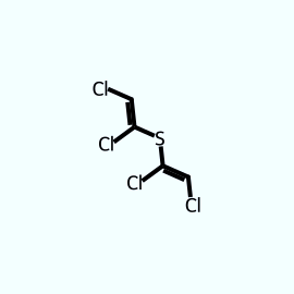 ClC=C(Cl)SC(Cl)=CCl